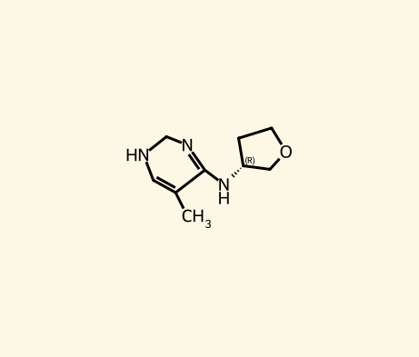 CC1=CNCN=C1N[C@@H]1CCOC1